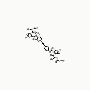 CNC(C(=O)N1C(C2Nc3cc(C#Cc4ccc5nc([C@@H]6C[C@H]7CC7N6C(=O)C(NC(=O)OC)C(C)C)[nH]c5c4)ccc3N2C)C[C@H]2CC21)C(C)C